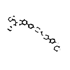 O=C1CC[C@H](Nc2ccc(C3CCN(CC(=O)N4CCN(c5ccc(-c6cc(F)c7c(c6)C(=O)N(C(C(=O)Nc6nccs6)c6ncn8c6CCC8)C7)cc5)CC4)CC3)c(F)c2)C(=O)N1